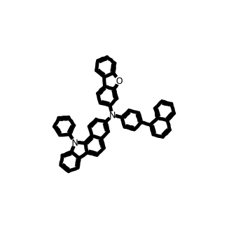 c1ccc(-n2c3ccccc3c3ccc4cc(N(c5ccc(-c6cccc7ccccc67)cc5)c5ccc6c(c5)oc5ccccc56)ccc4c32)cc1